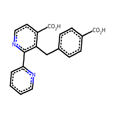 O=C(O)c1ccc(Cc2c(C(=O)O)ccnc2-c2ccccn2)cc1